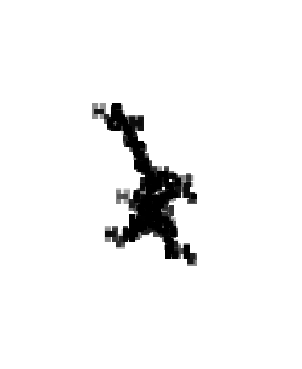 C=CC(=O)NCCOCCOCCOCCNC(=O)N(CCCCCCCC)CCC[C@@H](C)[C@H]1CC[C@H]2C3[C@H](OCCCN)CC4C[C@H](OCCCN)CC[C@]4(C)[C@H]3C[C@H](OCCCN)C12C